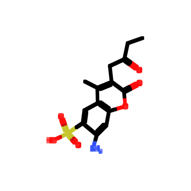 CCC(=O)Cc1c(C)c2cc(S(=O)(=O)O)c(N)cc2oc1=O